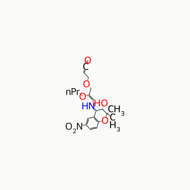 CCCOC(=CN[C@@H]1c2cc([N+](=O)[O-])ccc2OC(C)(C)[C@H]1O)COCC=C=O